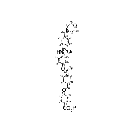 O=C(O)c1ccc(OCC2CCN(C(=O)Oc3ccc(NC(=O)c4ccc(CN5CCOCC5)cc4)cc3)CC2)cc1